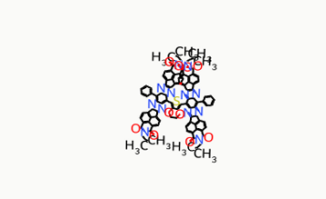 CC(C)CN1C(=O)c2ccc3c4c(ccc(c24)C1=O)-c1nc2c(-c4sc(-c5c6nc7c(nc6c(-c6ccccc6)c6nc8c(nc56)-c5ccc6c9c(ccc-8c59)C(=O)N(CC(C)C)C6=O)-c5ccc6c8c(ccc-7c58)C(=O)N(CC(C)C)C6=O)c5c4OCCO5)c4nc5c(nc4c(-c4ccccc4)c2nc1-3)-c1ccc2c3c(ccc-5c13)C(=O)N(CC(C)C)C2=O